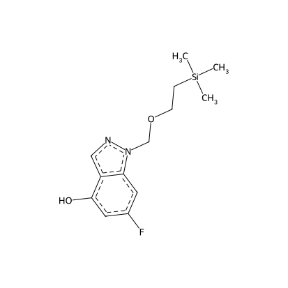 C[Si](C)(C)CCOCn1ncc2c(O)cc(F)cc21